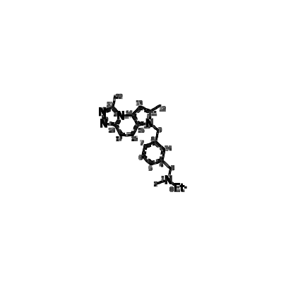 [CH2][CH]N(C)Cc1cccc(Cn2c(C)cc3c2ccc2nnc(C)n23)c1